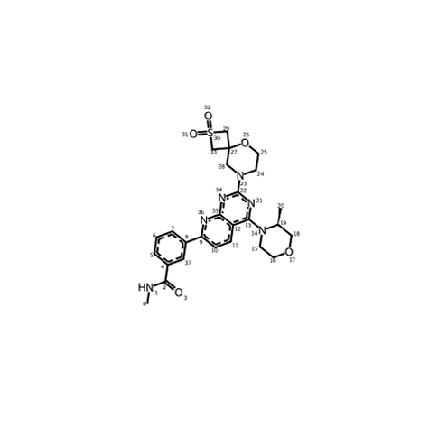 CNC(=O)c1cccc(-c2ccc3c(N4CCOC[C@@H]4C)nc(N4CCOC5(C4)CS(=O)(=O)C5)nc3n2)c1